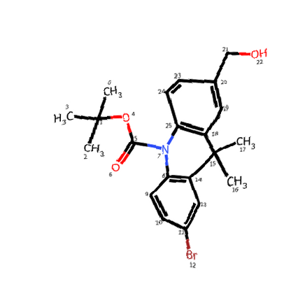 CC(C)(C)OC(=O)N1c2ccc(Br)cc2C(C)(C)c2cc(CO)ccc21